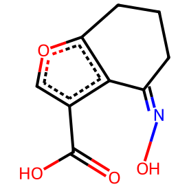 O=C(O)c1coc2c1/C(=N\O)CCC2